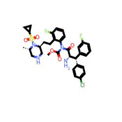 COC(=O)N(C(=O)[C@@H](N)[C@@H](c1ccc(Cl)cc1)c1cccc(F)c1)c1cccc(F)c1CC[C@H]1CNC[C@H](C)N1S(=O)(=O)C1CC1